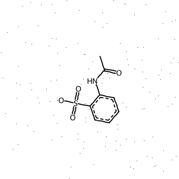 CC(=O)Nc1ccccc1S([O])(=O)=O